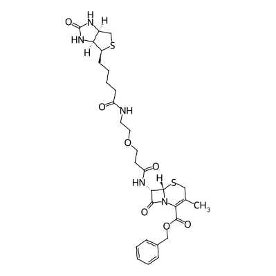 CC1=C(C(=O)OCc2ccccc2)N2C(=O)[C@H](NC(=O)CCOCCNC(=O)CCCC[C@@H]3SC[C@@H]4NC(=O)N[C@@H]43)[C@@H]2SC1